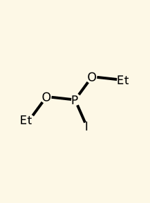 CCOP(I)OCC